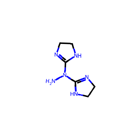 NN(C1=NCCN1)C1=NCCN1